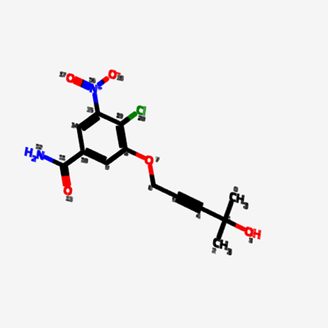 CC(C)(O)C#CCOc1cc(C(N)=O)cc([N+](=O)[O-])c1Cl